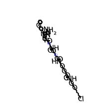 Nc1ncnc2c1c(-c1ccc(Oc3ccccc3)cc1)nn2[C@@H]1CCCN(C(=O)/C=C/CNC(=O)OC/C=C/COC(=O)NCCOCCOCCOC(=O)NCCOCCOCCCCCCCl)C1